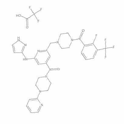 O=C(O)C(F)(F)F.O=C(c1cc(CN2CCN(C(=O)c3cccc(C(F)(F)F)c3F)CC2)nc(Nc2cc[nH]n2)c1)N1CCN(c2ccccn2)CC1